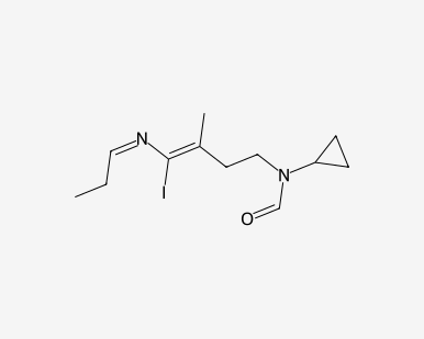 CC/C=N\C(I)=C(/C)CCN(C=O)C1CC1